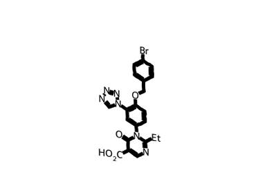 CCc1ncc(C(=O)O)c(=O)n1-c1ccc(OCc2ccc(Br)cc2)c(-n2cnnn2)c1